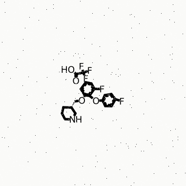 Fc1ccc(Oc2c(F)cccc2OC[C@H]2CCCNC2)cc1.O=C(O)C(F)(F)F